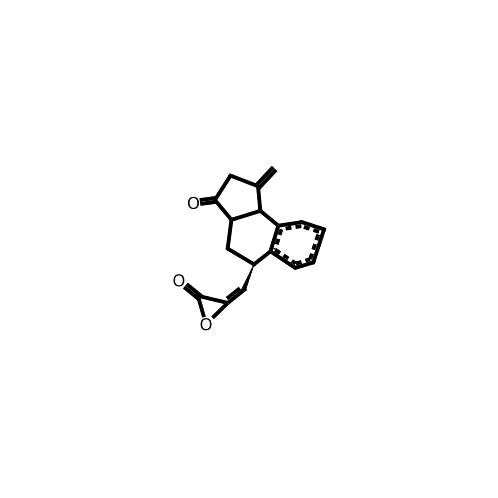 C=C1CC(=O)C2C[C@H](/C=C3/OC3=O)c3ccccc3C12